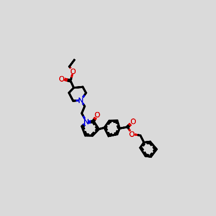 CCOC(=O)C1CCN(CCn2cccc(-c3ccc(C(=O)OCc4ccccc4)cc3)c2=O)CC1